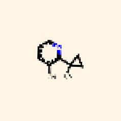 N#Cc1cccnc1C1(C#N)CC1